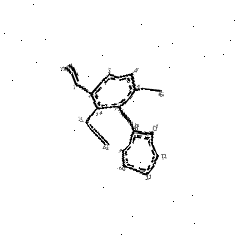 C=Cc1ccc(C)c(-c2ccccc2)c1C=C